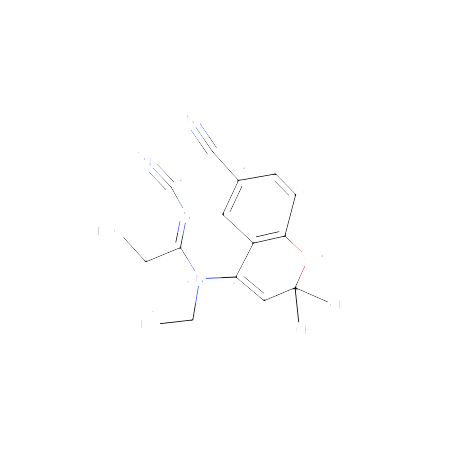 CCC(=NC#N)N(CC)C1=CC(C)(C)Oc2ccc(C#N)cc21